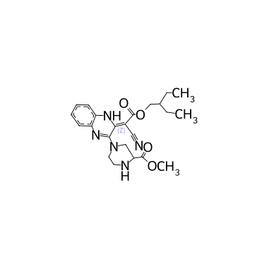 CCC(CC)COC(=O)/C(C#N)=C1\Nc2ccccc2N=C1N1CCNC(C(=O)OC)C1